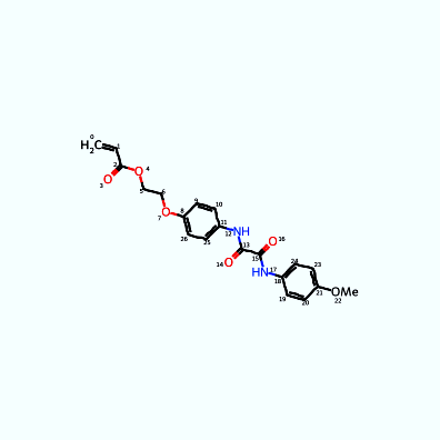 C=CC(=O)OCCOc1ccc(NC(=O)C(=O)Nc2ccc(OC)cc2)cc1